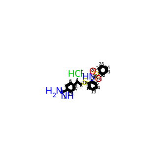 Cl.N=C(N)c1ccc(CCSc2ccccc2NS(=O)(=O)c2ccccc2)cc1